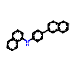 c1ccc2cc(-c3ccc(Nc4cccc5ccccc45)cc3)ccc2c1